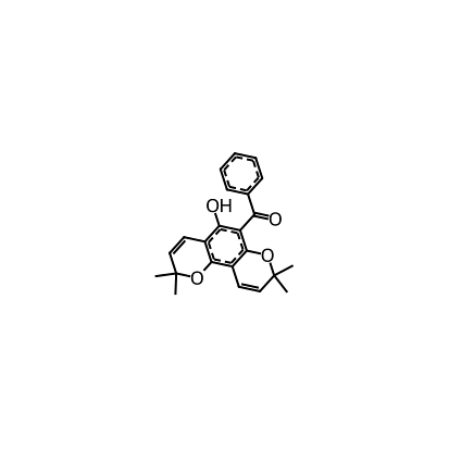 CC1(C)C=Cc2c(O)c(C(=O)c3ccccc3)c3c(c2O1)C=CC(C)(C)O3